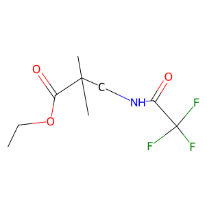 CCOC(=O)C(C)(C)CNC(=O)C(F)(F)F